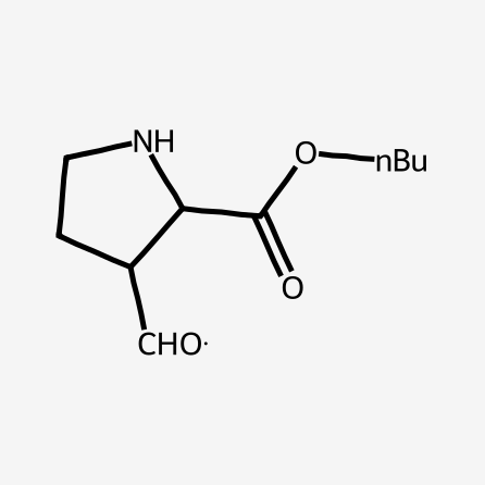 CCCCOC(=O)C1NCCC1[C]=O